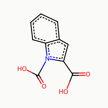 O=C(O)c1cc2ccccc2n1C(=O)O